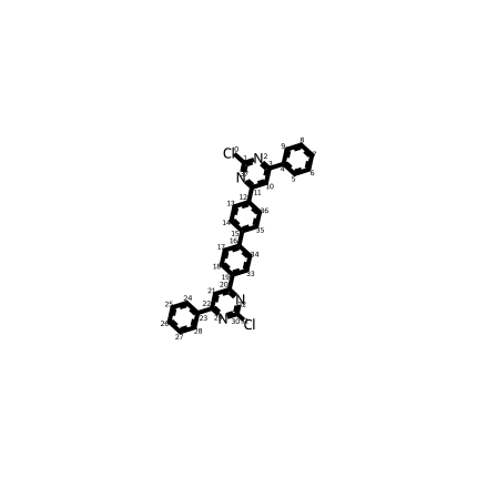 Clc1nc(-c2ccccc2)cc(-c2ccc(-c3ccc(-c4cc(-c5ccccc5)nc(Cl)n4)cc3)cc2)n1